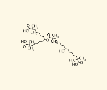 CC(C)(CCCCCC(O)CCCCCC(C)(C)C(=O)OC(CCCCCC(C)(C)C(=O)O)CCCCCC(C)(C)C(=O)O)C(=O)O